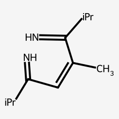 C/C(=C/C(=N)C(C)C)C(=N)C(C)C